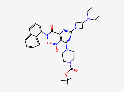 CCN(CC)C1CN(c2nc(C(=O)Nc3cccc4ccccc34)c([N+](=O)[O-])c(N3CCN(C(=O)OC(C)(C)C)CC3)n2)C1